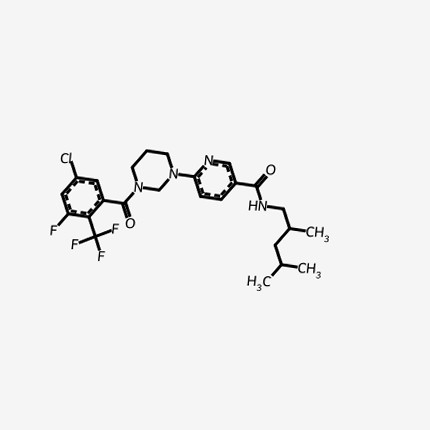 CC(C)CC(C)CNC(=O)c1ccc(N2CCCN(C(=O)c3cc(Cl)cc(F)c3C(F)(F)F)C2)nc1